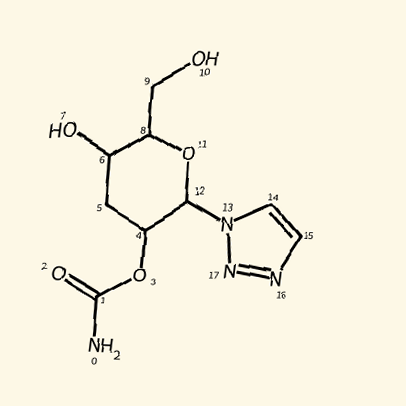 NC(=O)OC1CC(O)C(CO)OC1n1ccnn1